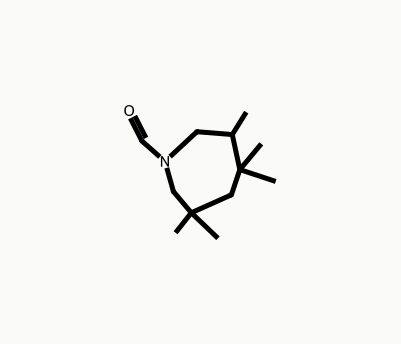 CC1CN(C=O)CC(C)(C)CC1(C)C